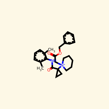 Cc1cccc(C)c1NC(=O)C1([N+]2(CC(=O)OCc3ccccc3)CCCCC2)CC1